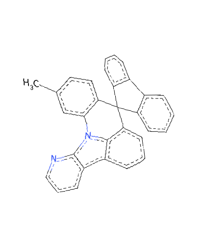 Cc1ccc2c(c1)-n1c3ncccc3c3cccc(c31)C21c2ccccc2-c2ccccc21